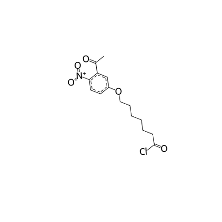 CC(=O)c1cc(OCCCCCCC(=O)Cl)ccc1[N+](=O)[O-]